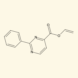 C=COC(=O)c1ccnc(-c2ccccc2)n1